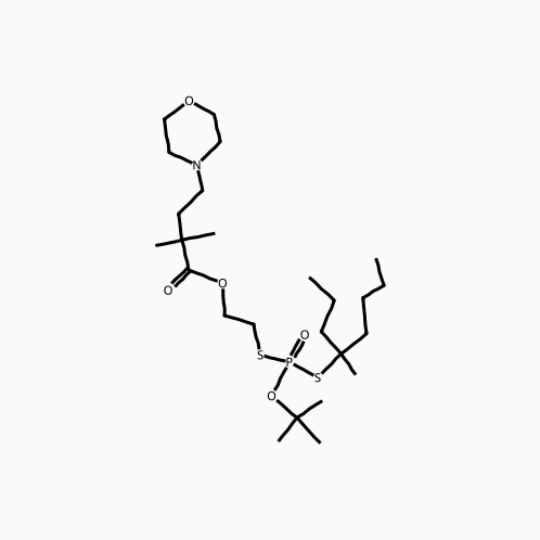 CCCCC(C)(CCC)SP(=O)(OC(C)(C)C)SCCOC(=O)C(C)(C)CCN1CCOCC1